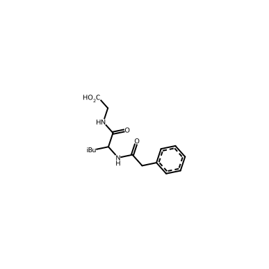 CCC(C)C(NC(=O)Cc1ccccc1)C(=O)NCC(=O)O